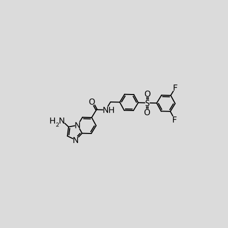 Nc1cnc2ccc(C(=O)NCc3ccc(S(=O)(=O)c4cc(F)cc(F)c4)cc3)cn12